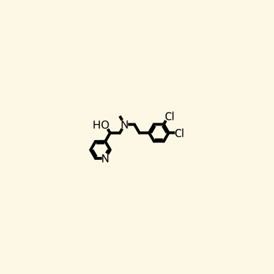 CN(CCc1ccc(Cl)c(Cl)c1)CC(O)c1cccnc1